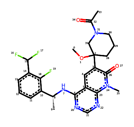 COC1(c2cc3c(N[C@H](C)c4cccc(C(F)F)c4F)ncnc3n(C)c2=O)CCCN(C(C)=O)C1